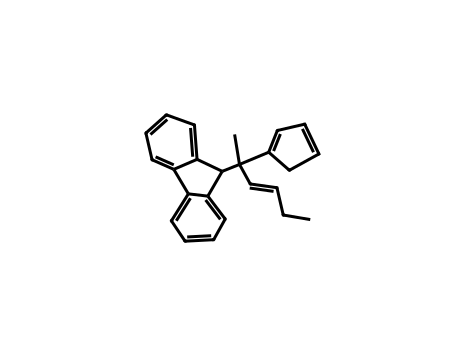 CCC=CC(C)(C1=CC=CC1)C1c2ccccc2-c2ccccc21